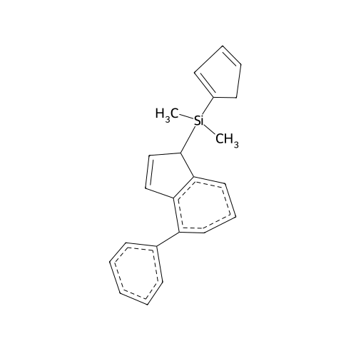 C[Si](C)(C1=CC=CC1)C1C=Cc2c(-c3ccccc3)cccc21